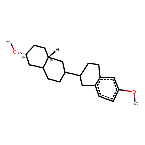 CCOc1ccc2c(c1)CCC(C1CCC3C[C@H](OCC)CC[C@@H]3C1)C2